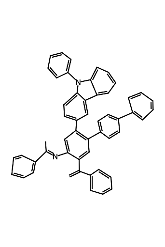 C=C(c1ccccc1)c1cc(-c2ccc(-c3ccccc3)cc2)c(-c2ccc3c(c2)c2ccccc2n3-c2ccccc2)cc1/N=C(\C)c1ccccc1